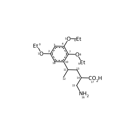 CCOc1cc(OCC)c(OCC)c(C(C)CC(CN)C(=O)O)c1